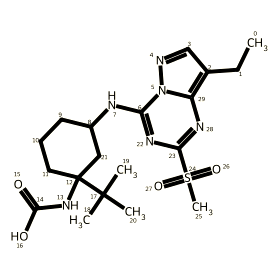 CCc1cnn2c(NC3CCCC(NC(=O)O)(C(C)(C)C)C3)nc(S(C)(=O)=O)nc12